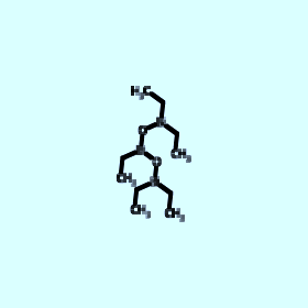 C[CH2][Bi]([CH2]C)[O][Bi]([CH2]C)[O][Bi]([CH2]C)[CH2]C